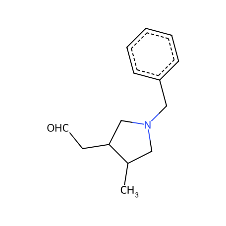 CC1CN(Cc2ccccc2)CC1CC=O